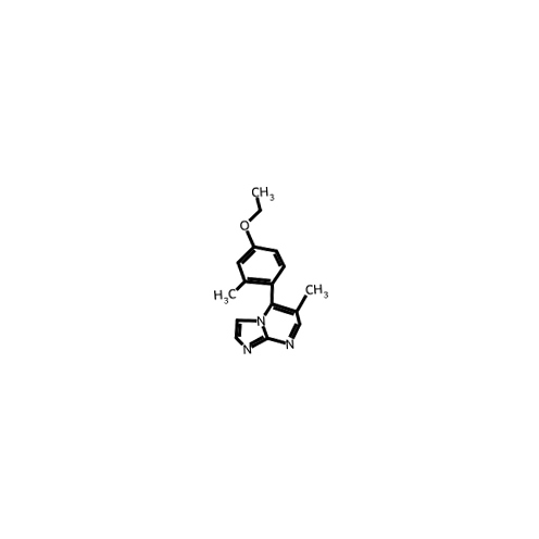 CCOc1ccc(-c2c(C)cnc3nccn23)c(C)c1